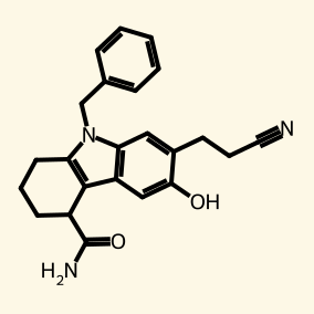 N#CCCc1cc2c(cc1O)c1c(n2Cc2ccccc2)CCCC1C(N)=O